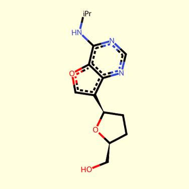 CC(C)Nc1ncnc2c([C@H]3CC[C@@H](CO)O3)coc12